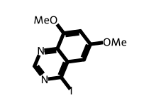 COc1cc(OC)c2ncnc(I)c2c1